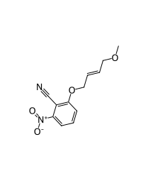 COCC=CCOc1cccc([N+](=O)[O-])c1C#N